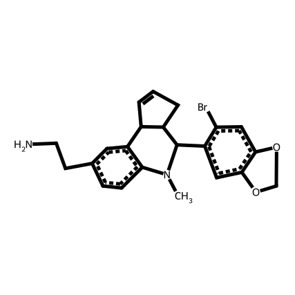 CN1c2ccc(CCN)cc2C2C=CCC2C1c1cc2c(cc1Br)OCO2